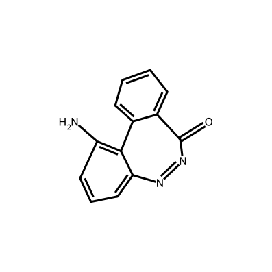 Nc1cccc2nnc(=O)c3ccccc3c12